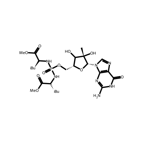 CC[C@H](C)C(NP(=O)(NC(C(=O)OC)[C@@H](C)CC)OC[C@H]1O[C@@H](n2cnc3c(=O)[nH]c(N)nc32)[C@@](C)(O)C1O)C(=O)OC